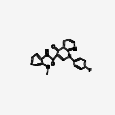 COc1ccccc1NC(=O)c1cn(-c2ccc(F)cc2)c2ncccc2c1=O